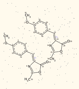 COc1ccc(/C=C2\N=C(C)OC2=O)cc1.COc1ccc(/C=C2\N=C(C)OC2=O)cc1